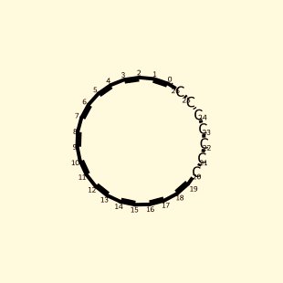 [C]1=C/C=C\C=C/C=C\C=C/C=C\C=C/C=C\C=C/C=C\CCCCCCC\1